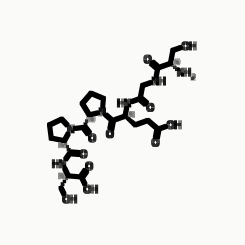 N[C@@H](CO)C(=O)NCC(=O)N[C@@H](CCC(=O)O)C(=O)N1CCC[C@H]1C(=O)N1CCC[C@H]1C(=O)N[C@@H](CO)C(=O)O